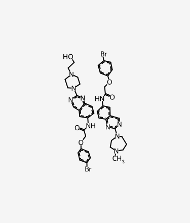 CN1CCCN(c2ncc3cc(NC(=O)COc4ccc(Br)cc4)ccc3n2)CC1.O=C(COc1ccc(Br)cc1)Nc1ccc2nc(N3CCN(CCO)CC3)ncc2c1